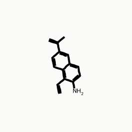 C=Cc1c(N)ccc2cc(C(=C)C)ccc12